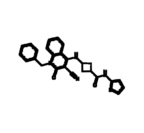 N#Cc1c(NC2CC(C(=O)Nc3cccs3)C2)c2ccccc2n(Cc2ccccc2)c1=O